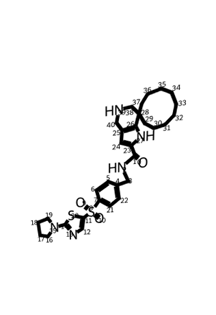 O=C(NCc1ccc(S(=O)(=O)c2cnc(N3CCCC3)s2)cc1)c1cc2c([nH]1)C1(CCCCCCCCC1)CNC2